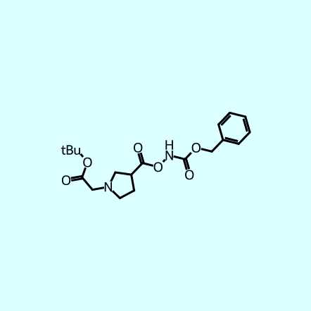 CC(C)(C)OC(=O)CN1CCC(C(=O)ONC(=O)OCc2ccccc2)C1